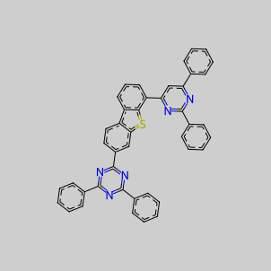 c1ccc(-c2cc(-c3cccc4c3sc3cc(-c5nc(-c6ccccc6)nc(-c6ccccc6)n5)ccc34)nc(-c3ccccc3)n2)cc1